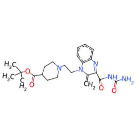 C=C1C(C(=O)NC(N)=O)=Nc2ccccc2N1CCN1CCC(C(=O)OC(C)(C)C)CC1